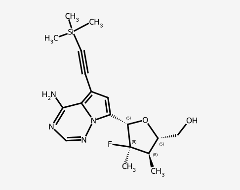 C[C@@H]1[C@@H](CO)O[C@@H](c2cc(C#C[Si](C)(C)C)c3c(N)ncnn23)[C@]1(C)F